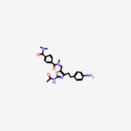 CC(=O)Nc1nc(CCc2ccc(N)cc2)c(CN(C)C(=O)c2ccc(C(=O)N(C)C)cc2)s1